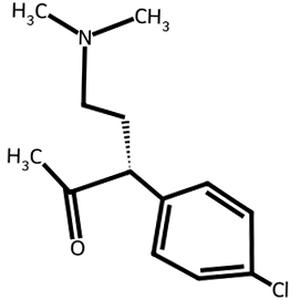 CC(=O)[C@H](CCN(C)C)c1ccc(Cl)cc1